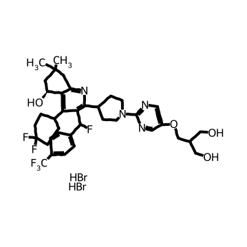 Br.Br.CC1(C)Cc2nc(C3CCN(c4ncc(OCC(CO)CO)cn4)CC3)c(C(F)c3ccc(C(F)(F)F)cc3)c(C3CCC(F)(F)CC3)c2[C@@H](O)C1